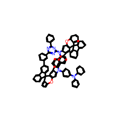 c1ccc(-c2nc(-c3cccc(-c4ccc5c(c4)-c4ccccc4C54c5ccccc5Oc5cc6c(cc54)c4ccc5ccccc5c4n6-c4ccc(N(c5ccccc5)c5ccccc5)cc4)c3)nc(-n3c4cc5c(cc4c4ccc6ccccc6c43)C3(c4ccccc4O5)c4ccccc4-c4ccccc43)n2)cc1